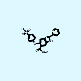 CCS(=O)(=O)c1ccc(Oc2cc3nc(-c4ccccn4)[nH]c3cc2C(=O)OC)cc1